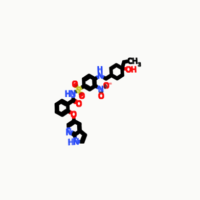 CCC1(O)CCC(CNc2ccc(S(=O)(=O)NC(=O)c3ccccc3Oc3cnc4[nH]ccc4c3)cc2[N+](=O)[O-])CC1